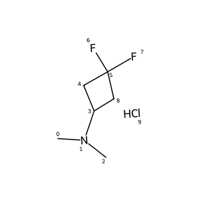 CN(C)C1CC(F)(F)C1.Cl